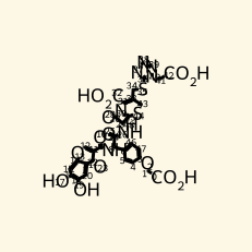 O=C(O)COc1ccc(C(NC(=O)c2coc3cc(O)c(O)cc3c2=O)C(=O)N[C@@H]2C(=O)N3C(C(=O)O)=C(CSc4nnnn4CC(=O)O)CS[C@H]23)cc1